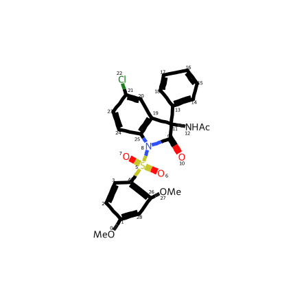 COc1ccc(S(=O)(=O)N2C(=O)C(NC(C)=O)(c3ccccc3)c3cc(Cl)ccc32)c(OC)c1